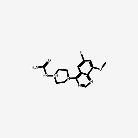 COc1cc(F)cc2c(N3CC[SH](NC(N)=O)CC3)ncnc12